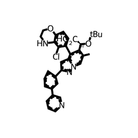 Cc1cn2nc(-c3cccc(-c4cccnc4)c3)cc2c(-c2ccc3c(c2Cl)NCCO3)c1[C@H](OC(C)(C)C)C(=O)O